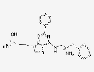 CCC[C@H](O)C#Cc1csc2c(NC[C@@H](N)Cc3ccccc3)nc(-c3ccncc3)nc12